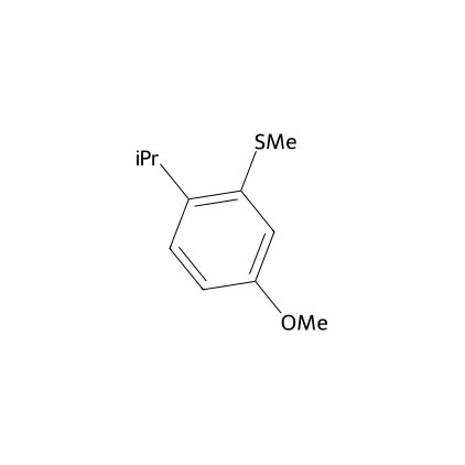 COc1ccc(C(C)C)c(SC)c1